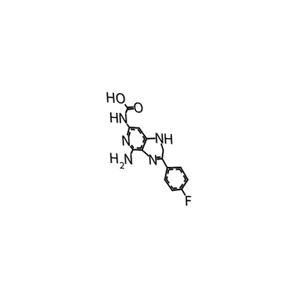 Nc1nc(NC(=O)O)cc2c1N=C(c1ccc(F)cc1)CN2